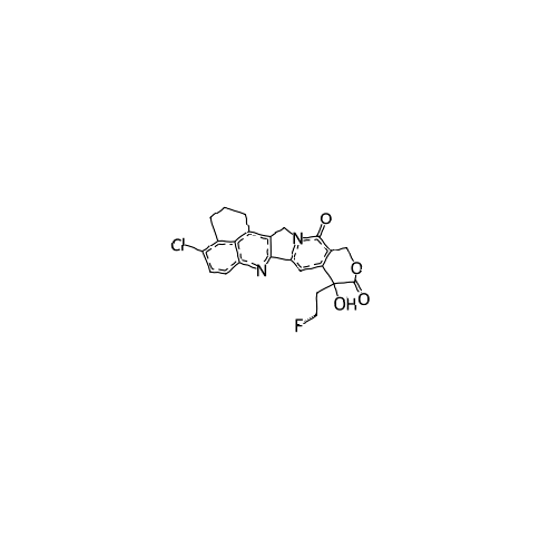 O=C1OCc2c(cc3n(c2=O)Cc2c-3nc3ccc(Cl)c4c3c2CCC4)C1(O)CCF